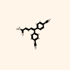 N#Cc1ccc(C(=CC=CC(=O)O)c2ccc(C#N)cc2)cc1